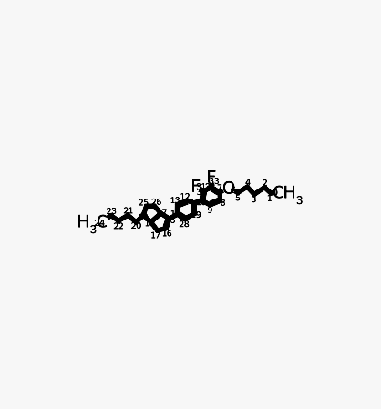 CCCCCCOc1ccc(-c2ccc(C3=CCC4C(CCCCC)CCC34)cc2)c(F)c1F